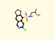 CC(O)CNS(=O)(=O)c1c2c(cc3cnc(Cl)cc13)CCC2